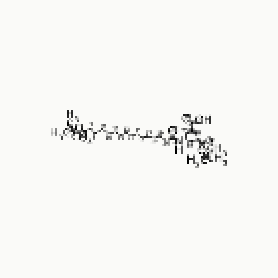 CC(C)(C)OC(=O)CCCCCCCCCCCCCCC(=O)Nc1cc(C(=O)O)cc(C(=O)OC(C)(C)C)c1